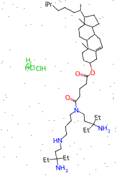 CCC(N)(CC)CCNCCCCN(CCC(N)(CC)CC)C(=O)CCCC(=O)OC1CCC2(C)C(=CCC3C2CCC2(C)C(C(C)CCCC(C)C)CCC32)C1.Cl.Cl.Cl